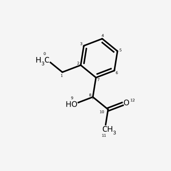 CCc1ccccc1[C](O)C(C)=O